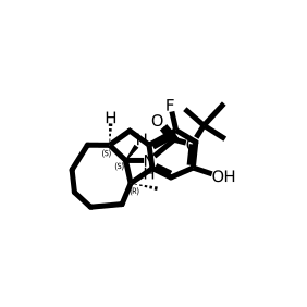 CC(C)(C)OC(=O)N[C@H]1[C@H]2CCCCC[C@]1(C)c1cc(O)cc(F)c1C2